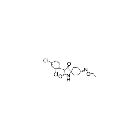 CCON=C1CCC2(CC1)NC(=O)C(c1ccc(Cl)cc1Cl)C2=O